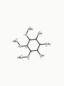 CCCCOC1C(O)C(OC(C)=O)C(O)C(OCCCC)C1OCCCC